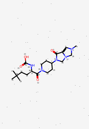 CN1C=C2C(=O)N(C3CCN(C(=O)[C@@H](CCC(C)(C)C)NC(=O)O)CC3)CN2C1